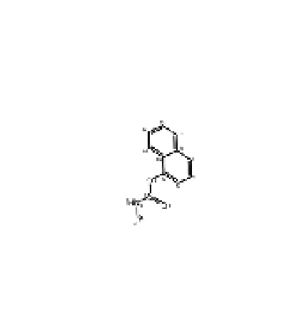 CC(C)NS(=O)Oc1cccc2ccccc12